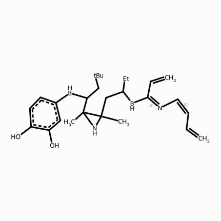 C=C/C=C\N=C(\BC(CC)CC1(C)NC1(C)C(Bc1ccc(O)c(O)c1)CC(C)(C)C)C=C